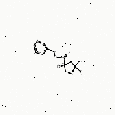 O=C(OCc1ccccc1)C1(O)CCC(F)(F)C1